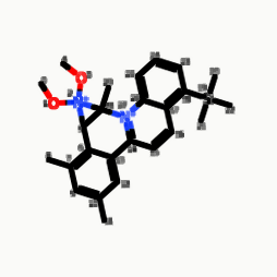 CO[N+]1(OC)C2c3c(C)cc(C)cc3-c3ccc4c([Si](C)(C)C)cccc4[n+]3C21C